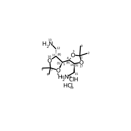 CC1(C)O[C@@H]([C@H]2OC(C)(C)O[C@@H]2CN)[C@H](CN)O1.Cl.Cl